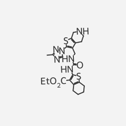 CCOC(=O)c1c(NC(=O)NCc2c(-n3cnc(C)n3)sc3c2CCNC3)sc2c1CCCC2